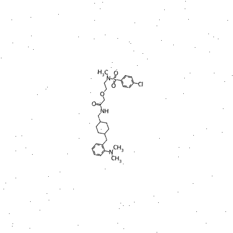 CN(C)c1ccccc1CC1CCC(CNC(=O)COCCN(C)S(=O)(=O)c2ccc(Cl)cc2)CC1